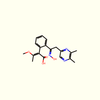 COC(C)=C(C(=O)O)c1ccccc1C(Cc1cnc(C)c(C)n1)=NO